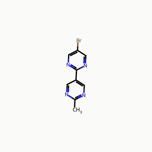 Cc1ncc(-c2ncc(Br)cn2)cn1